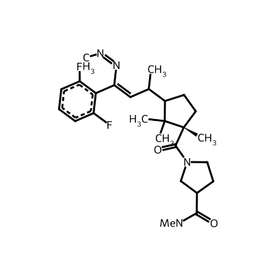 C/N=N\C(=C/C(C)C1CC[C@](C)(C(=O)N2CCC(C(=O)NC)C2)C1(C)C)c1c(F)cccc1F